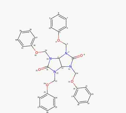 O=C1N(COc2ccccc2)C2C(N1COc1ccccc1)N(COc1ccccc1)C(=O)N2COc1ccccc1